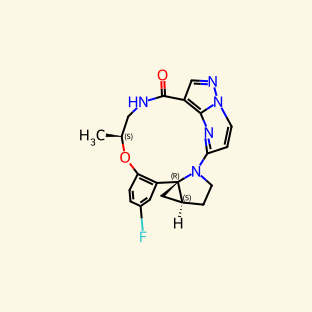 C[C@H]1CNC(=O)c2cnn3ccc(nc23)N2CC[C@H]3C[C@]32c2cc(F)ccc2O1